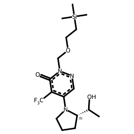 CC(O)[C@@H]1CCCN1c1cnn(COCC[Si](C)(C)C)c(=O)c1C(F)(F)F